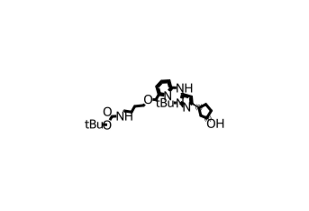 CC(C)(C)OC(=O)NCCCCOCc1cccc(Nc2cc([C@H]3CC[C@@H](O)C3)nn2C(C)(C)C)n1